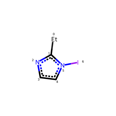 CCc1nccn1I